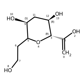 C=C(O)[C@@H]1OC(CCO)[C@@H](O)C[C@H]1O